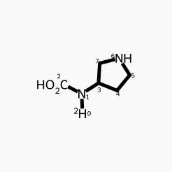 [2H]N(C(=O)O)C1CCNC1